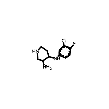 NC1CNCCC1Nc1ccc(F)c(Cl)c1